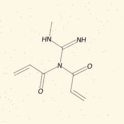 C=CC(=O)N(C(=N)NC)C(=O)C=C